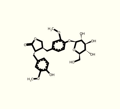 COc1cc(C[C@@H]2C(=O)OC[C@H]2Cc2ccc(O[C@@H]3O[C@H](CO)[C@@H](O)[C@H](O)[C@H]3O)c(OC)c2)ccc1O